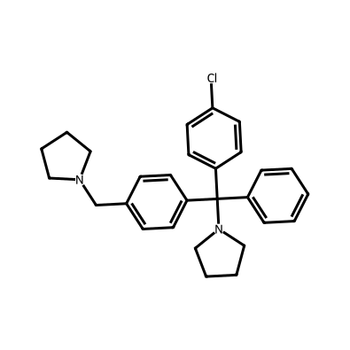 Clc1ccc(C(c2ccccc2)(c2ccc(CN3CCCC3)cc2)N2CCCC2)cc1